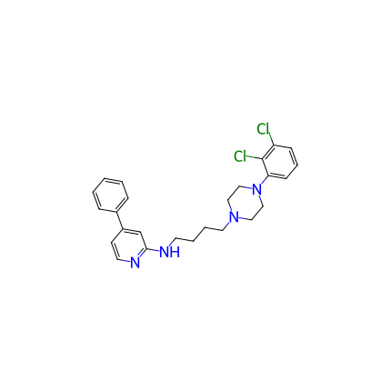 Clc1cccc(N2CCN(CCCCNc3cc(-c4ccccc4)ccn3)CC2)c1Cl